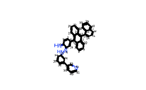 N=C1C=CC(c2c3ccccc3c(-c3cccc4ccccc34)c3ccccc23)=C/C1=N/Nc1cccc(-c2cccnc2)c1